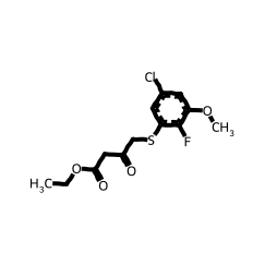 CCOC(=O)CC(=O)CSc1cc(Cl)cc(OC)c1F